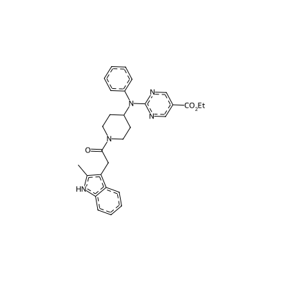 CCOC(=O)c1cnc(N(c2ccccc2)C2CCN(C(=O)Cc3c(C)[nH]c4ccccc34)CC2)nc1